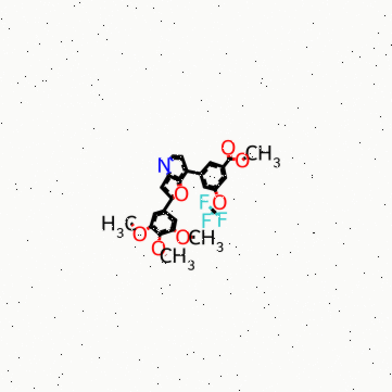 COC(=O)c1cc(OC(F)(F)F)cc(-c2ccnc3cc(-c4cc(OC)c(OC)c(OC)c4)oc23)c1